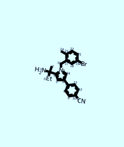 CCC(C)(N)c1cc(-c2ccc(C#N)cc2)cn1Cc1cc(Br)ccc1C